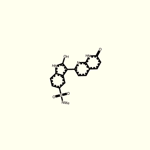 CNS(=O)(=O)c1ccc2[nH]c(O)c(-c3ccc4ccc(=O)[nH]c4n3)c2c1